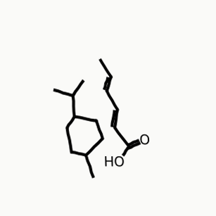 CC1CCC(C(C)C)CC1.CC=CC=CC(=O)O